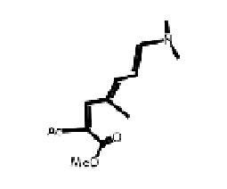 COC(=O)\C(=C/C(C)=C/C=C/N(C)C)C(C)=O